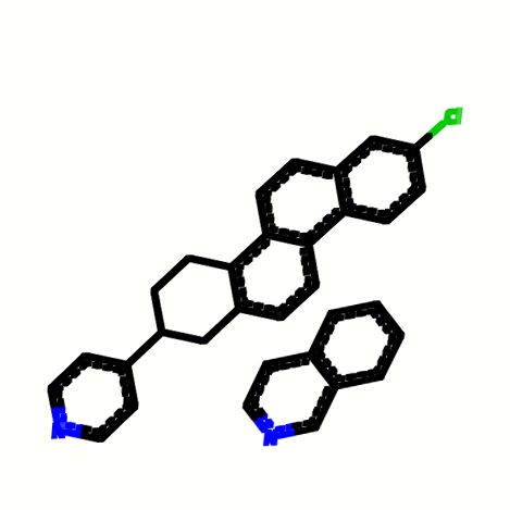 Clc1ccc2c(ccc3c4c(ccc32)CC(c2ccncc2)CC4)c1.c1ccc2cnccc2c1